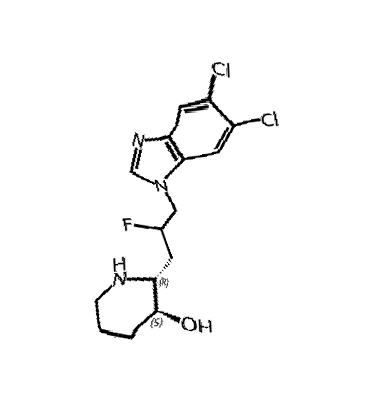 O[C@H]1CCCN[C@@H]1CC(F)Cn1cnc2cc(Cl)c(Cl)cc21